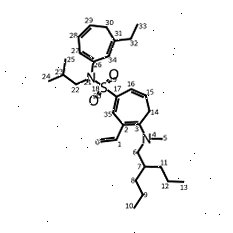 C=CC1=C(N(C)CC(CCC)CCC)CC=CC(S(=O)(=O)N(CC(C)C)C2=CC=CCC(CC)=C2)=C1